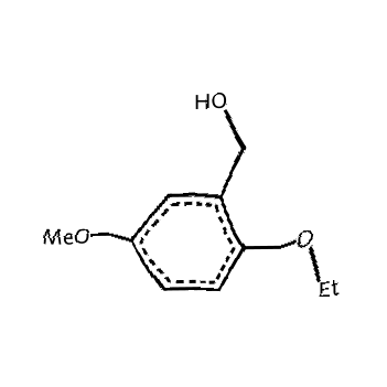 CCOc1ccc(OC)cc1CO